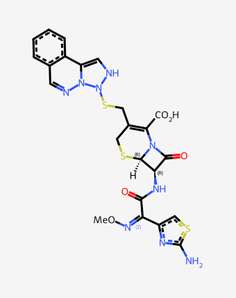 CO/N=C(\C(=O)N[C@@H]1C(=O)N2C(C(=O)O)=C(CSN3NC=C4c5ccccc5C=NN43)CS[C@H]12)c1csc(N)n1